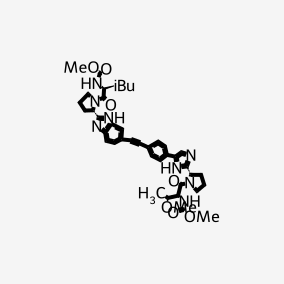 CC[C@H](C)[C@H](NC(=O)OC)C(=O)N1CCC[C@H]1c1nc2ccc(C#Cc3ccc(-c4cnc([C@@H]5CCCN5C(=O)[C@@H](NC(=O)OC)[C@@H](C)OC)[nH]4)cc3)cc2[nH]1